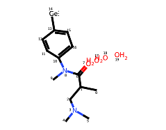 CC(CN(C)C)C(=O)N(C)c1cc[c]([Ge])cc1.O.O.O